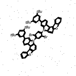 CC(C)(C)c1cc(-c2ccc3c4c5c(ccc4n(-c4cc(Br)c(-n6c7cc(-c8cc(C(C)(C)C)cc(C(C)(C)C)c8)ccc7c7c8c(ccc76)sc6ccccc68)cc4Br)c3c2)sc2ccccc25)cc(C(C)(C)C)c1